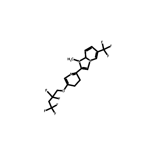 CN1C(C2=NC=C(OCC(F)(F)CC(F)(F)F)CC2)=CN2C=C(C(F)(F)F)C=CC21